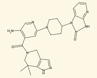 CC1(C)CN(C(=O)c2cc(N3CCC(n4c(=O)[nH]c5ncccc54)CC3)ncc2N)Cc2cn[nH]c21